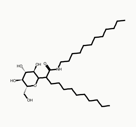 CCCCCCCCCCCCNC(=O)C(CCCCCCCCCC)C1O[C@H](CO)[C@@H](O)[C@H](O)[C@H]1O